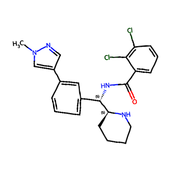 Cn1cc(-c2cccc([C@H](NC(=O)c3cccc(Cl)c3Cl)[C@@H]3CCCCN3)c2)cn1